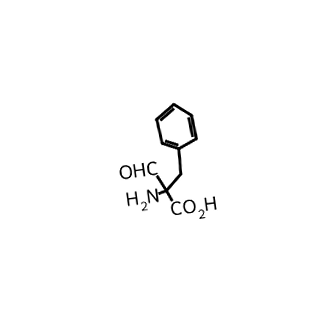 NC(C=O)(Cc1ccccc1)C(=O)O